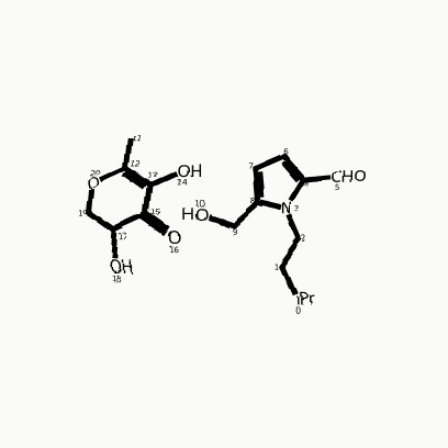 CC(C)CCn1c(C=O)ccc1CO.CC1=C(O)C(=O)C(O)CO1